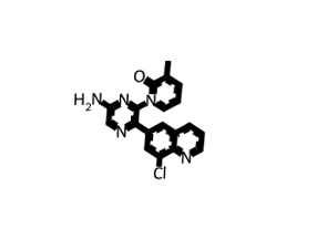 Cc1cccn(-c2nc(N)cnc2-c2cc(Cl)c3ncccc3c2)c1=O